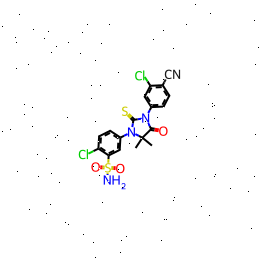 CC1(C)C(=O)N(c2ccc(C#N)c(Cl)c2)C(=S)N1c1ccc(Cl)c(S(N)(=O)=O)c1